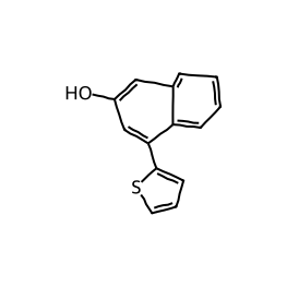 Oc1cc(-c2cccs2)c2ccccc2c1